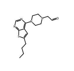 CCCCc1cc2c(N3CCN(CC=O)CC3)ncnc2s1